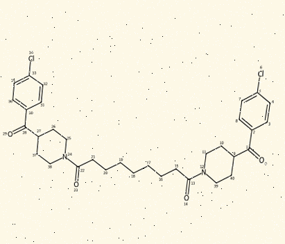 O=C(c1ccc(Cl)cc1)C1CCN(C(=O)CCCCCCCC(=O)N2CCC(C(=O)c3ccc(Cl)cc3)CC2)CC1